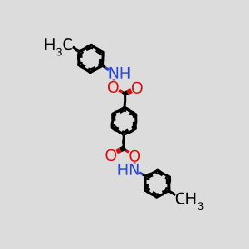 Cc1ccc(NOC(=O)c2ccc(C(=O)ONc3ccc(C)cc3)cc2)cc1